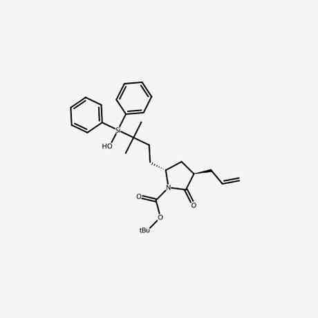 C=CC[C@@H]1C[C@@H](CCC(C)(C)[Si](O)(c2ccccc2)c2ccccc2)N(C(=O)OC(C)(C)C)C1=O